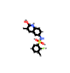 Cc1cc2cc(NS(=O)(=O)c3cccc(C)c3F)ccc2nc1O